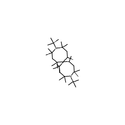 CC1CC(C)(C)N(C(C)(C)C)C(C)(C)CC(C)(C)C12C(C)CC(C)(C)N(C(C)(C)C)C(C)(C)CC2(C)C